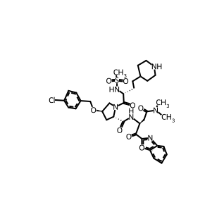 CN(C)C(=O)C[C@H](NC(=O)[C@@H]1C[C@@H](OCc2ccc(Cl)cc2)CN1C(=O)[C@@H](CCC1CCNCC1)NS(C)(=O)=O)C(=O)c1nc2ccccc2o1